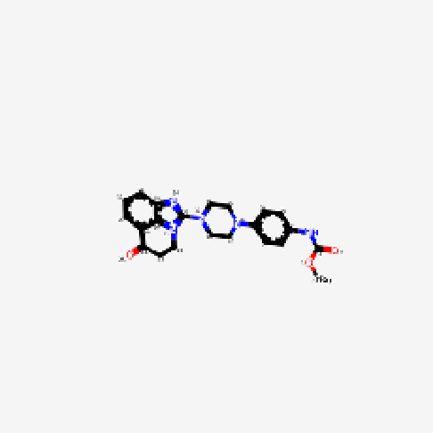 CC(C)(C)OC(=O)Nc1ccc(N2CCN(c3nc4cccc5c4n3CCC5=O)CC2)cc1